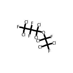 FC(Cl)(Cl)C(F)(Cl)OC(Cl)(Cl)C(F)(F)C(F)(Cl)Cl